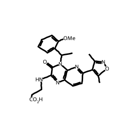 COc1ccccc1C(C)n1c(=O)c(NCCC(=O)O)nc2ccc(-c3c(C)noc3C)nc21